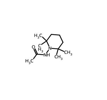 CC(=O)NN1C(C)(C)CCCC1(C)C